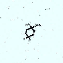 CCCC1(OC)CCC(F)(F)CC1